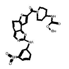 CC(C)(C)OC(=O)NC1CCN(C(=O)c2cc3c(ccc4cnc(NC5C=C([SH](=O)=O)C=CC5)nc43)s2)CC1